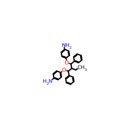 CCC(C(Oc1ccc(N)cc1)c1ccccc1)C(Oc1ccc(N)cc1)c1ccccc1